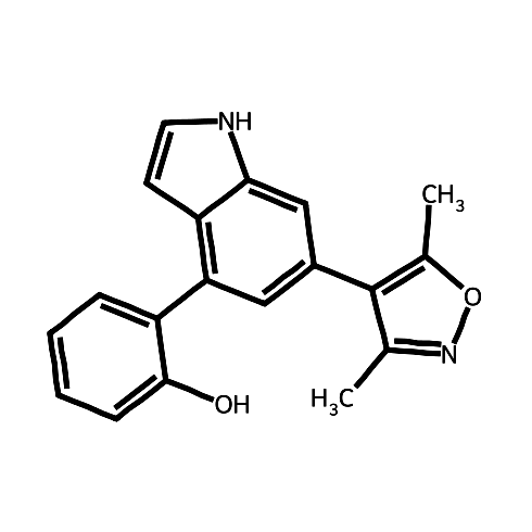 Cc1noc(C)c1-c1cc(-c2ccccc2O)c2cc[nH]c2c1